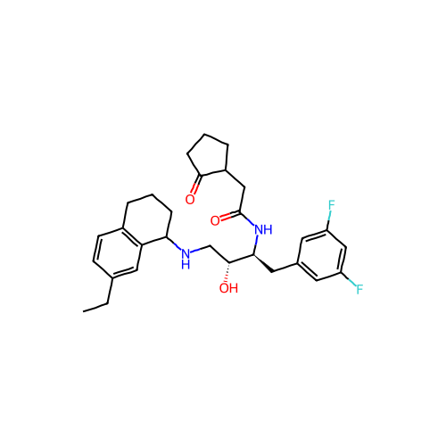 CCc1ccc2c(c1)C(NC[C@@H](O)[C@H](Cc1cc(F)cc(F)c1)NC(=O)CC1CCCC1=O)CCC2